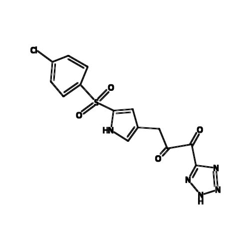 O=C(Cc1c[nH]c(S(=O)(=O)c2ccc(Cl)cc2)c1)C(=O)c1nn[nH]n1